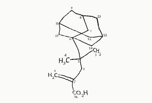 C=C(CC(C)(C)C12CC3CC(CC(C3)C1)C2)C(=O)O